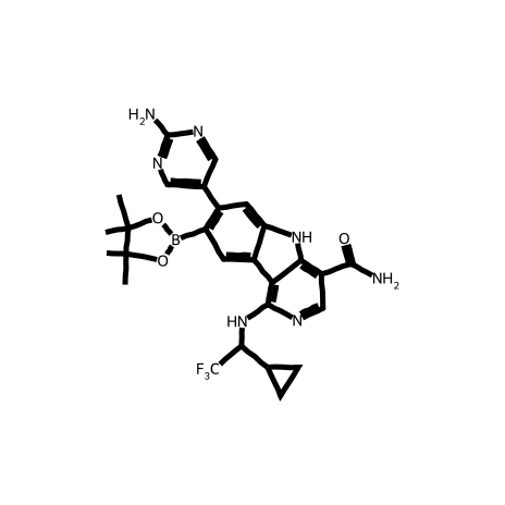 CC1(C)OB(c2cc3c(cc2-c2cnc(N)nc2)[nH]c2c(C(N)=O)cnc(NC(C4CC4)C(F)(F)F)c23)OC1(C)C